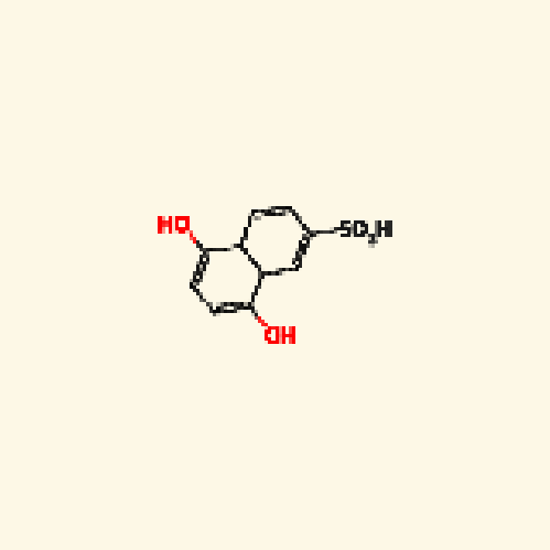 O=S(=O)(O)C1=CC2C(O)=CC=C(O)C2C=C1